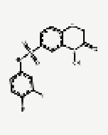 CN1C(=O)COc2ccc(S(=O)(=O)Nc3ccc(F)c(Cl)c3)cc21